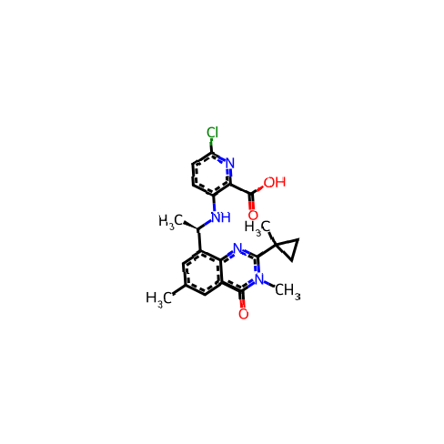 Cc1cc([C@@H](C)Nc2ccc(Cl)nc2C(=O)O)c2nc(C3(C)CC3)n(C)c(=O)c2c1